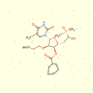 COCCO[C@@H]1[C@H](OC(=O)c2ccccc2)[C@@H](CC(O)P(C)(C)=O)O[C@H]1n1cc(C)c(=O)[nH]c1=O